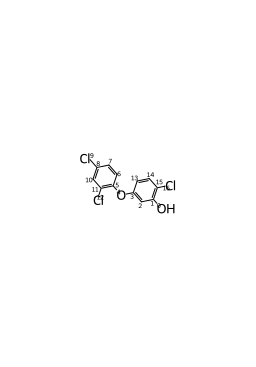 Oc1cc(Oc2ccc(Cl)cc2Cl)ccc1Cl